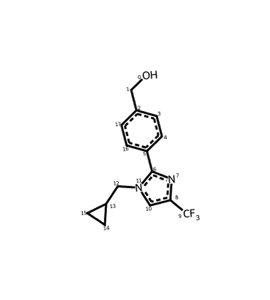 OCc1ccc(-c2nc(C(F)(F)F)cn2CC2CC2)cc1